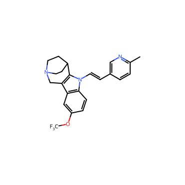 Cc1ccc(C=Cn2c3c(c4cc(OC(F)(F)F)ccc42)CN2CCC3CC2)cn1